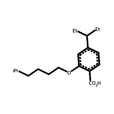 CCC(CC)c1ccc(C(=O)O)c(OCCCCC(C)C)c1